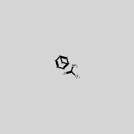 NC(=O)C(F)(F)F.c1cc2cc(c1)C2